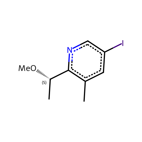 CO[C@@H](C)c1ncc(I)cc1C